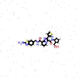 Nc1nc2ccc(CNC(=O)c3cccn4c(C(=O)NC5CCCC5CO)c(-c5ccsc5)nc34)cc2s1